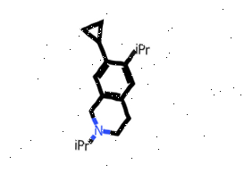 CC(C)c1cc2c(cc1C1CC1)CN(C(C)C)CC2